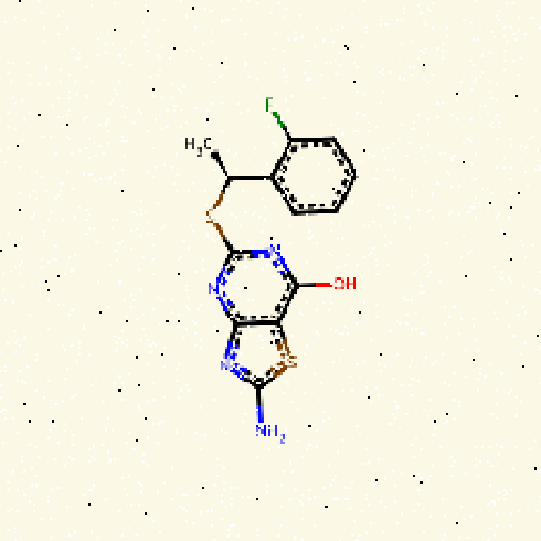 C[C@H](Sc1nc(O)c2sc(N)nc2n1)c1ccccc1F